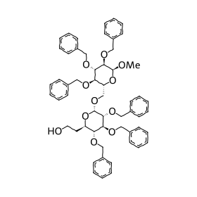 CO[C@H]1O[C@H](CO[C@H]2O[C@H](CCO)[C@@H](OCc3ccccc3)[C@H](OCc3ccccc3)[C@H]2OCc2ccccc2)[C@@H](OCc2ccccc2)[C@H](OCc2ccccc2)[C@H]1OCc1ccccc1